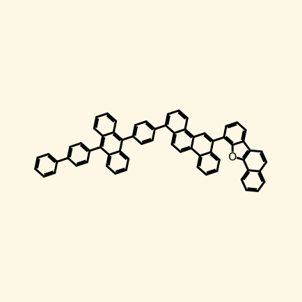 c1ccc(-c2ccc(-c3c4ccccc4c(-c4ccc(-c5cccc6c5ccc5c7ccccc7c(-c7cccc8c7oc7c9ccccc9ccc87)cc65)cc4)c4ccccc34)cc2)cc1